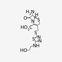 NC1C(=O)N2C(C(=O)O)=C(CSc3nnc(NCCO)s3)CS[C@H]12